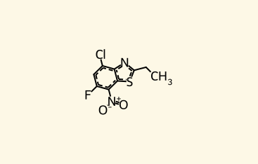 CCc1nc2c(Cl)cc(F)c([N+](=O)[O-])c2s1